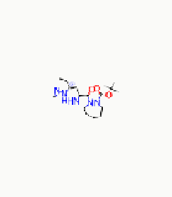 C=NN/C(=C\C(=N)C(=O)N1CCCCCN1C(=O)OC(C)(C)C)CC